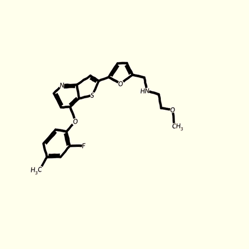 COCCNCc1ccc(-c2cc3nccc(Oc4ccc(C)cc4F)c3s2)o1